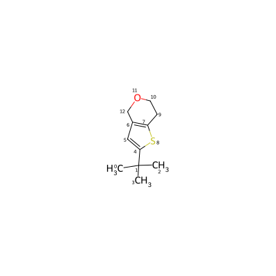 CC(C)(C)c1cc2c(s1)CCOC2